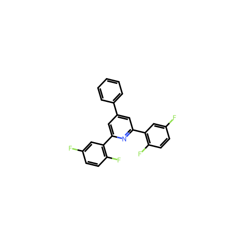 Fc1ccc(F)c(-c2cc(-c3ccccc3)cc(-c3cc(F)ccc3F)n2)c1